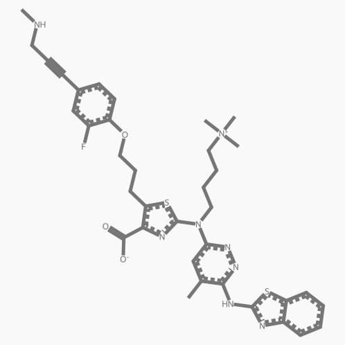 CNCC#Cc1ccc(OCCCc2sc(N(CCCC[N+](C)(C)C)c3cc(C)c(Nc4nc5ccccc5s4)nn3)nc2C(=O)[O-])c(F)c1